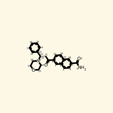 NC(=O)c1ccc2cc(C(=O)C[C@@H](c3ccccc3)N3CCOCC3)ccc2c1